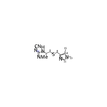 CN/C(=N/C#N)NCCSCc1ncn(C)c1C